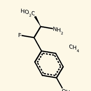 C.N[C@H](C(=O)O)C(F)c1ccc(O)cc1